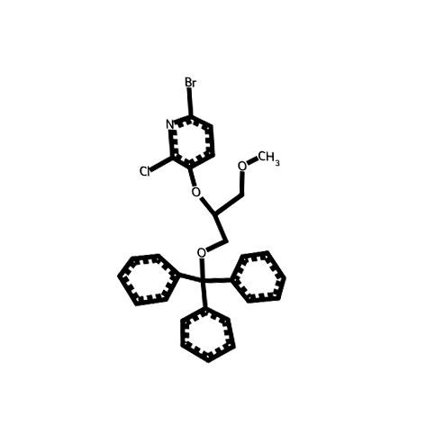 COCC(COC(c1ccccc1)(c1ccccc1)c1ccccc1)Oc1ccc(Br)nc1Cl